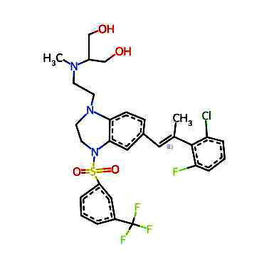 C/C(=C\c1ccc2c(c1)N(S(=O)(=O)c1cccc(C(F)(F)F)c1)CCN2CCN(C)C(CO)CO)c1c(F)cccc1Cl